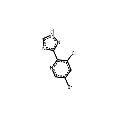 Clc1cc(Br)cnc1-c1nc[nH]n1